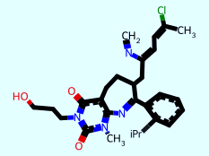 C=N/C(=C\C=C(/C)Cl)CC1CCc2c(n(C)c(=O)n(CCCO)c2=O)N=C1c1ccccc1C(C)C